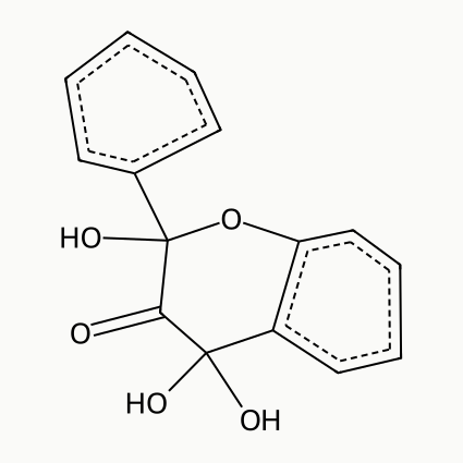 O=C1C(O)(O)c2ccccc2OC1(O)c1ccccc1